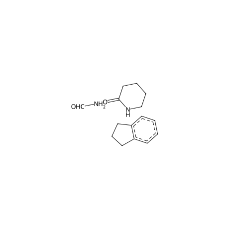 NC=O.O=C1CCCCN1.c1ccc2c(c1)CCC2